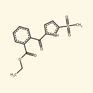 CCOC(=O)c1ccccc1C(=O)c1ccc(S(C)(=O)=O)[nH]1